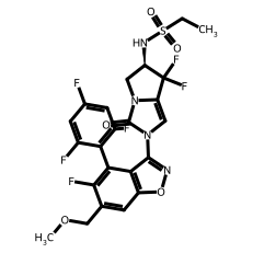 CCS(=O)(=O)N[C@@H]1Cn2c(cn(-c3noc4cc(COC)c(F)c(-c5c(F)cc(F)cc5F)c34)c2=O)C1(F)F